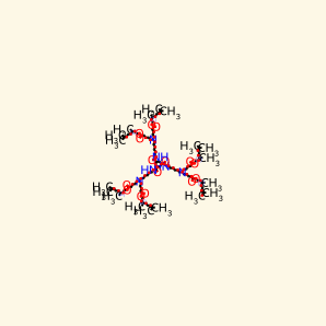 CC(C)=CCC/C(C)=C\COC(=O)CCCCN(CCCCCCNC(=O)C1CC(C(=O)NCCCCCCN(CCCCC(=O)OC/C=C(/C)CCC=C(C)C)CCCCC(=O)OC/C=C(/C)CCC=C(C)C)CC(C(=O)NCCCCCCN(CCCCC(=O)OC/C=C(/C)CCC=C(C)C)CCCCC(=O)OC/C=C(/C)CCC=C(C)C)C1)CCCCC(=O)OC/C=C(/C)CCC=C(C)C